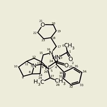 CC(=O)N[C@@H](CCN1C2CCC1CC1(C2)CN(CC2CCOCC2)C(=O)N1C(C)C)c1ccccc1